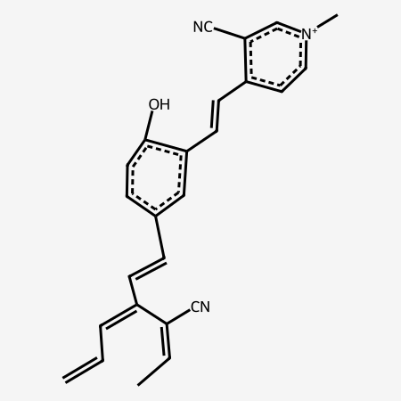 C=C/C=C(/C=C/c1ccc(O)c(/C=C/c2cc[n+](C)cc2C#N)c1)C(\C#N)=C/C